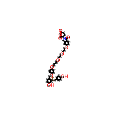 O=C1CCC(N2Cc3cc(OCCCOCCCOCCCCOc4ccc(OCc5ccc(O)cc5SCc5ccc(O)cc5)cc4)ccc3C2=O)C(=O)O1